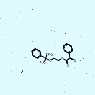 CC(=O)OC(C=O)(OCCOC(=O)C(=O)c1ccccc1)c1ccccc1